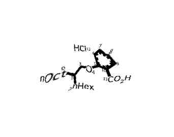 CCCCCCCCC(CCCCCC)COc1ccccc1C(=O)O.Cl